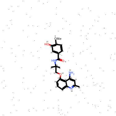 COc1ccc(C(=O)NC(C)(C)COc2cccc3nc(C)cc(N)c23)cc1O